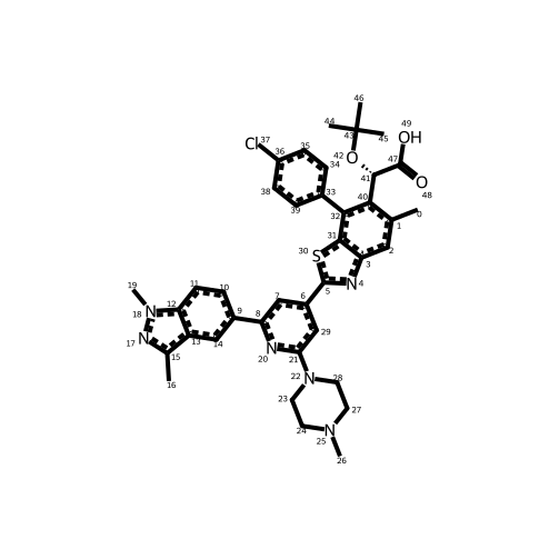 Cc1cc2nc(-c3cc(-c4ccc5c(c4)c(C)nn5C)nc(N4CCN(C)CC4)c3)sc2c(-c2ccc(Cl)cc2)c1[C@H](OC(C)(C)C)C(=O)O